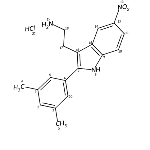 Cc1cc(C)cc(-c2[nH]c3ccc([N+](=O)[O-])cc3c2CCN)c1.Cl